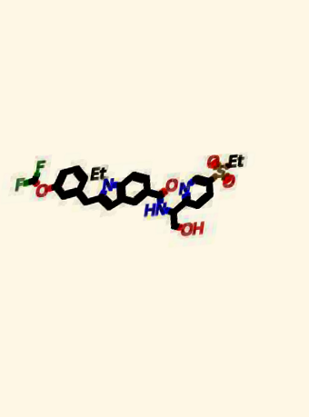 CCn1c(Cc2cccc(OC(F)F)c2)cc2cc(C(=O)NC(CO)c3ccc(S(=O)(=O)CC)cn3)ccc21